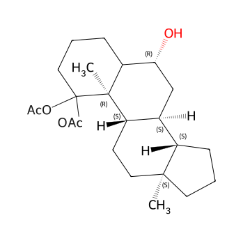 CC(=O)OC1(OC(C)=O)CCCC2[C@H](O)C[C@H]3[C@@H]4CCC[C@@]4(C)CC[C@@H]3[C@]21C